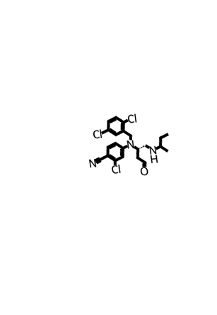 CCC(C)NC[C@H](CC=O)N(Cc1cc(Cl)ccc1Cl)c1ccc(C#N)c(Cl)c1